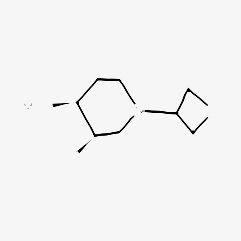 CO[C@H]1CCN(C2COC2)C[C@H]1F